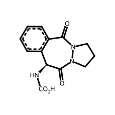 O=C(O)N[C@@H]1C(=O)N2CCCN2C(=O)c2ccccc21